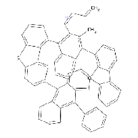 C=C/C=C\c1c(C)c(-c2cccc3c2oc2ccccc23)c2ccccc2c1-c1cccc2sc3ccc(-c4c5ccccc5c(-c5ccccc5)c5ccccc45)cc3c12